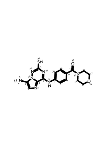 Nc1cnc2c(Nc3ccc(C(=O)N4CCOCC4)cc3)nc(S)nn12